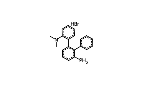 Br.CN(C)c1ccccc1-c1cccc(P)c1-c1ccccc1